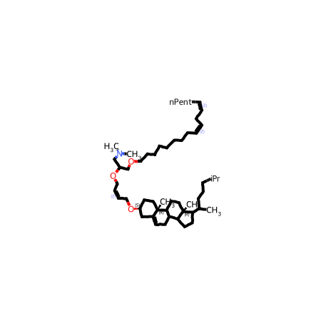 CCCCC/C=C\C/C=C\CCCCCCCCOCC(CN(C)C)OC/C=C\CO[C@H]1CC[C@@]2(C)C(=CCC3C4CCC(C(C)CCCC(C)C)[C@@]4(C)CCC32)C1